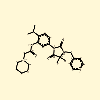 CC(C)c1ccc(N2C(=O)N(Cc3ccncc3)C(C)(C)C2=O)cc1NC(=O)CN1CCCCC1